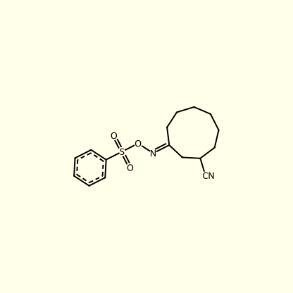 N#CC1CCCCCC/C(=N\OS(=O)(=O)c2ccccc2)C1